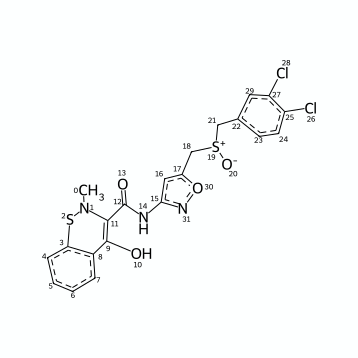 CN1Sc2ccccc2C(O)=C1C(=O)Nc1cc(C[S+]([O-])Cc2ccc(Cl)c(Cl)c2)on1